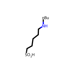 CCCCNCCCCCS(=O)(=O)O